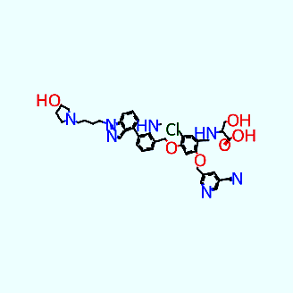 CNc1c(COc2cc(OCc3cncc(C#N)c3)c(CNC(CO)C(=O)O)cc2Cl)cccc1-c1cccc2c1cnn2CCCCN1CC[C@@H](O)C1